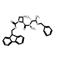 C[C@@H](OCc1ccccc1)[C@@H](C(=O)O)N(C)C(=O)[C@@H]1CCN1C(=O)OCC1c2ccccc2-c2ccccc21